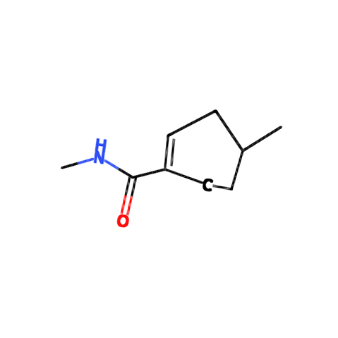 CNC(=O)C1=CCC(C)CC1